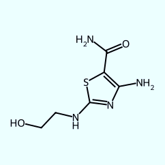 NC(=O)c1sc(NCCO)nc1N